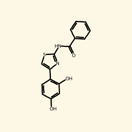 O=C(Nc1nc(-c2ccc(O)cc2O)cs1)c1ccccc1